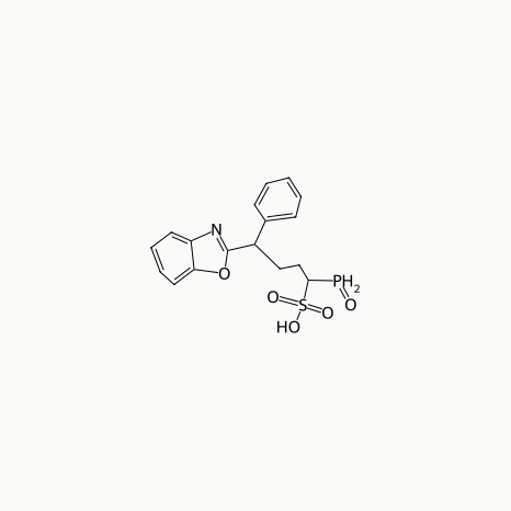 O=[PH2]C(CCC(c1ccccc1)c1nc2ccccc2o1)S(=O)(=O)O